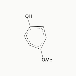 [CH2-][OH+]c1ccc(O)cc1